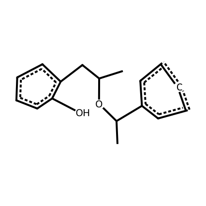 CC(Cc1ccccc1O)OC(C)c1ccccc1